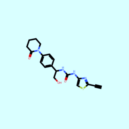 C#Cc1nc(NC(=O)NC(CO)c2ccc(N3CCCCC3=O)cc2)cs1